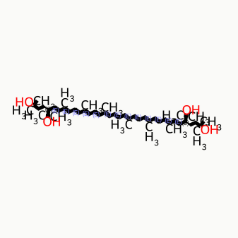 CC(/C=C/C=C(C)/C=C/C=C(C)/C=C/[C@H](CCC(C)(C)O)C(C)(C)O)=C\C=C\C=C(C)\C=C\C=C(C)\C=C\C=C(C)\C=C\[C@H](CCC(C)(C)O)C(C)(C)O